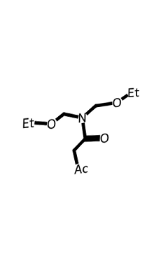 CCOCN(COCC)C(=O)CC(C)=O